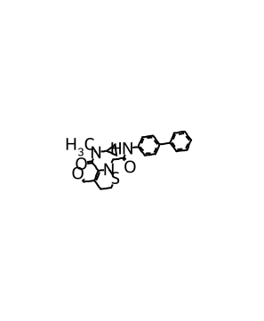 CN(C(=O)C1=C(C=O)CCSN1CC(=O)Nc1ccc(-c2ccccc2)cc1)C1CC1